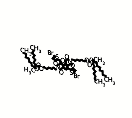 CCCCCCCCC(C)(CCCCCCCC)OC(=O)OCCCCCCN1C(=O)c2cc(-c3ccc(Br)s3)c3c4c(cc(-c5ccc(Br)s5)c(c24)C1=O)C(=O)N(CCCCCCOC(=O)OC(C)(CCCCCCCC)CCCCCCCC)C3=O